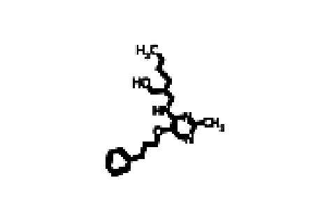 CCCCC(CO)CNc1nc(C)ncc1OCCCc1ccccc1